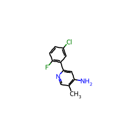 Cc1cnc(-c2cc(Cl)ccc2F)cc1N